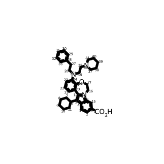 O=C(O)c1ccc2c(C3CCCCC3)c3n(c2c1)CCOc1c-3cccc1N(CCc1ccccc1)CCN1CCCCC1